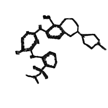 COc1c(Nc2ncc(Cl)c(Nc3ccccc3S(=O)(=O)N(C)C)n2)ccc2c1CCCC(N1CCN(C)CC1)C2